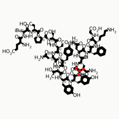 CC[C@H](C)[C@H](NC(=O)[C@@H](N)CCC(=O)O)C(=O)N[C@@H](CC(=O)O)C(=O)N1CCC[C@H]1C(=O)N[C@@H](CO)C(=O)N[C@@H](CC(=O)O)C(=O)N[C@@H](CC(N)=O)C(=O)N[C@@H](Cc1ccc(O)cc1)C(=O)N[C@H](C(=O)N[C@@H](Cc1ccc(O)cc1)C(=O)N[C@@H](Cc1ccc(O)cc1)C(=O)N[C@@H](CC(N)=O)C(=O)N[C@@H](CCC(N)=O)C(=O)N[C@@H](CC(N)=O)C(=O)N[C@@H](Cc1ccccc1)C(=O)N[C@@H](CCCCN)C(=O)NCC(=O)O)[C@@H](C)O